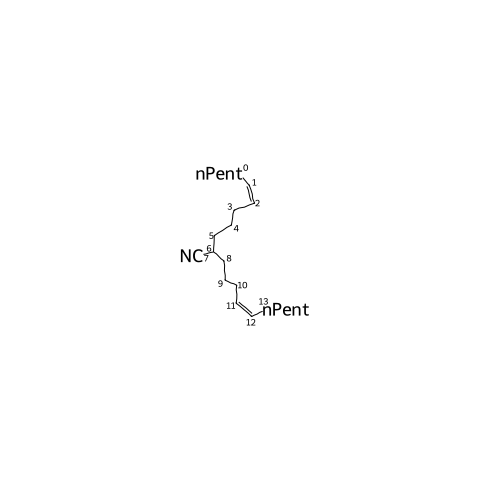 CCCCC/C=C\CCCC(C#N)CCC/C=C\CCCCC